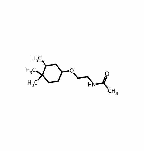 CC(=O)NCCO[C@H]1CCC(C)(C)[C@@H](C)C1